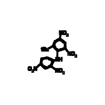 CC(C)(C)c1cc([N+](=O)[O-])cc([N+](=O)[O-])c1Nc1ccc([N+](=O)[O-])cc1[N+](=O)[O-]